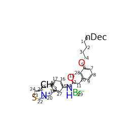 CCCCCCCCCCCCCCOc1cccc(CC(=O)Nc2cccc(C[n+]3cscc3C)c2)c1.[Br-]